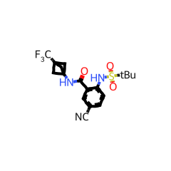 CC(C)(C)S(=O)(=O)Nc1ccc(C#N)cc1C(=O)NC12CC(C(F)(F)F)(C1)C2